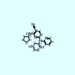 N#Cc1cnc(N(c2ccccn2)C2CNCCN2)nc1NC1CCCC1